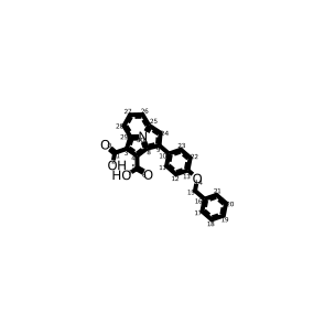 O=C(O)c1c(C(=O)O)c2c(-c3ccc(OCc4ccccc4)cc3)cc3cccc1n32